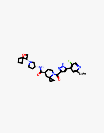 COc1cc(-c2cc(C(=O)N3CC[C@H](C(=O)N[C@@H]4CCN([C@H]5COC56CCC6)C4)CC34CC4)n[nH]2)c(F)cn1